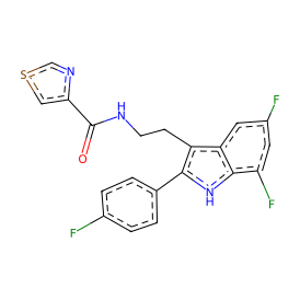 O=C(NCCc1c(-c2ccc(F)cc2)[nH]c2c(F)cc(F)cc12)c1cscn1